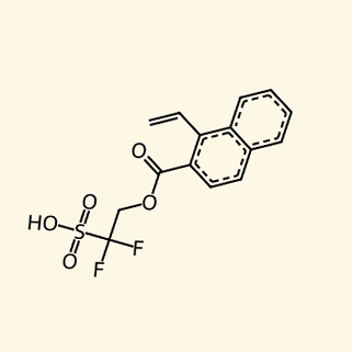 C=Cc1c(C(=O)OCC(F)(F)S(=O)(=O)O)ccc2ccccc12